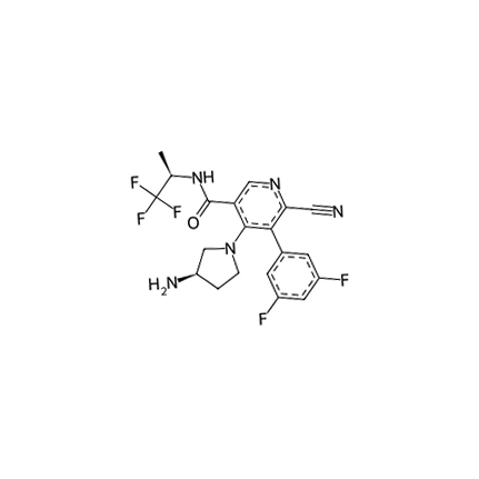 C[C@@H](NC(=O)c1cnc(C#N)c(-c2cc(F)cc(F)c2)c1N1CC[C@@H](N)C1)C(F)(F)F